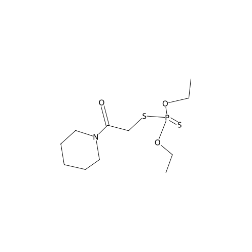 CCOP(=S)(OCC)SCC(=O)N1CCCCC1